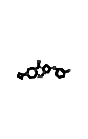 CC(=O)N1C[C@@H](Oc2cccc(F)c2)C[C@H]1C(=O)N1CCCN(C2CCC2)CC1